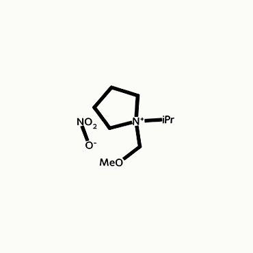 COC[N+]1(C(C)C)CCCC1.O=[N+]([O-])[O-]